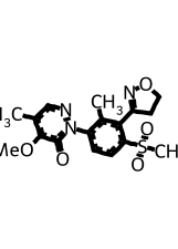 COc1c(C)cnn(-c2ccc(S(C)(=O)=O)c(C3=NOCC3)c2C)c1=O